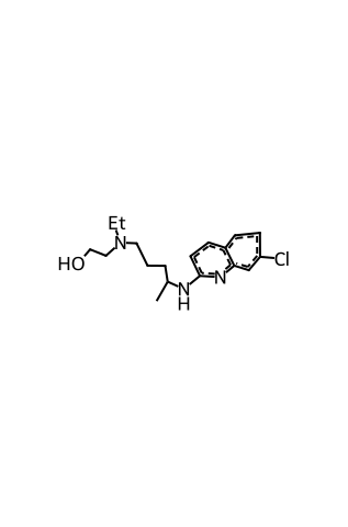 CCN(CCO)CCCC(C)Nc1ccc2ccc(Cl)cc2n1